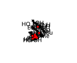 C=CC=C.CC(C)(C)NCC(O)COc1ccccc1C#N.CCC(C(=O)OCCOCCN(CC)CC)c1ccccc1.CO[C@]12CC[C@@]3(C[C@@H]1[C@](C)(O)C(C)(C)C)[C@H]1Cc4ccc(O)c5c4[C@@]3(CCN1CC1CC1)[C@H]2O5.Cl.Cl.O=C(O)CC(O)(CC(=O)O)C(=O)O